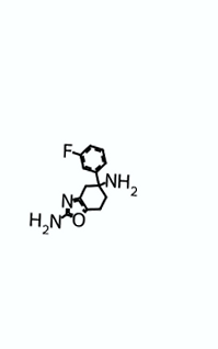 Nc1nc2c(o1)CCC(N)(c1cccc(F)c1)C2